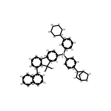 CC1(C)c2cc(N(c3ccc(C4CC5CCC4C5)cc3)c3cccc(C4CCCCC4)c3)ccc2-c2cccc(-c3cccc4ccccc34)c21